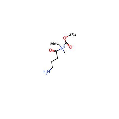 CO[N+](C)(C(=O)CCCN)C(=O)OC(C)(C)C